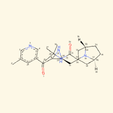 Cc1cncc(C(=O)C2N[C@H]2CC2C[C@@H]3CC[C@@H](C2)N3CC(=O)NC(C)(C)C)c1